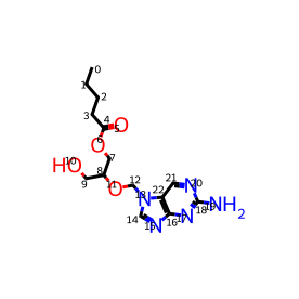 CCCCC(=O)OCC(CO)OCn1cnc2nc(N)ncc21